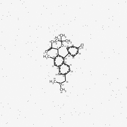 CC(=O)[C@@H](OC(C)(C)C)c1c(C)cc2nc(CN(C)C)ccc2c1-c1ccc(Cl)cc1